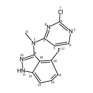 CN(c1ccnc(Cl)n1)c1n[nH]c2cccc(F)c12